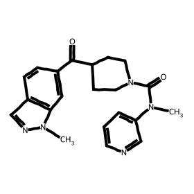 CN(C(=O)N1CCC(C(=O)c2ccc3cnn(C)c3c2)CC1)c1cccnc1